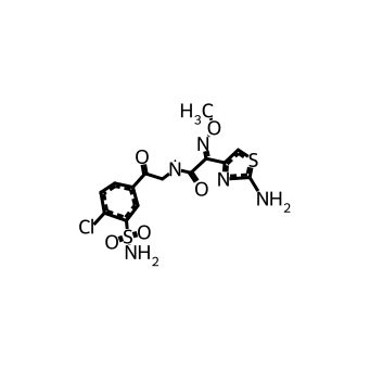 CON=C(C(=O)[N]CC(=O)c1ccc(Cl)c(S(N)(=O)=O)c1)c1csc(N)n1